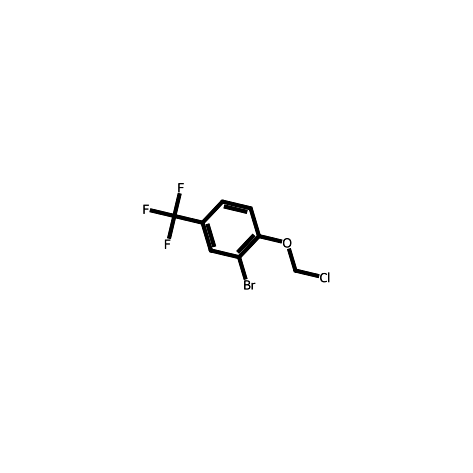 FC(F)(F)c1ccc(OCCl)c(Br)c1